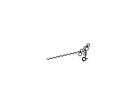 CCCCCCCCCCCCCCCCCCCC(=O)OCC1(COCc2ccccc2C)CCC(=O)O1